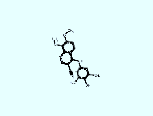 COc1ccc2c(Nc3cc(C)c(O)c(C)c3)c(C#N)cnc2c1OC